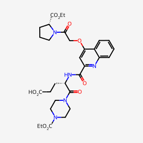 CCOC(=O)[C@H]1CCCN1C(=O)COc1cc(C(=O)N[C@@H](CCC(=O)O)C(=O)N2CCN(C(=O)OCC)CC2)nc2ccccc12